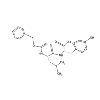 CC(C)C[C@H](NC(=O)OCc1ccccc1)C(=O)N[C@@H](Cc1ccc(O)cc1)C(=O)O